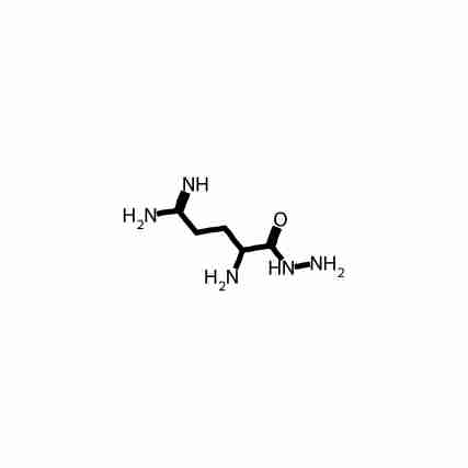 N=C(N)CCC(N)C(=O)NN